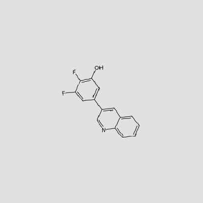 Oc1cc(-c2cnc3ccccc3c2)cc(F)c1F